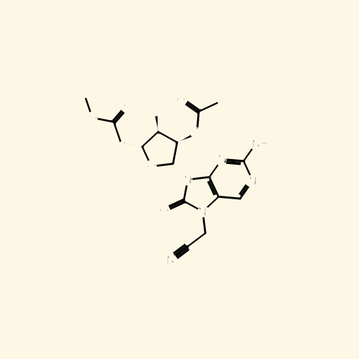 COC(=O)C[C@H]1O[C@@H](n2c(=O)n(CC#N)c3cnc(N)nc32)[C@H](OC(C)=O)[C@@H]1F